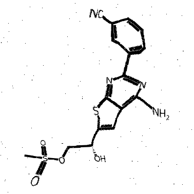 CS(=O)(=O)OC[C@@H](O)c1cc2c(N)nc(-c3cccc(C#N)c3)nc2s1